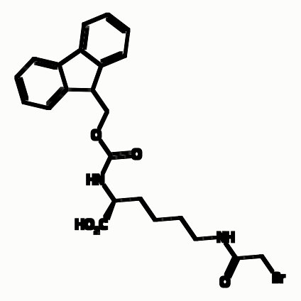 O=C(CBr)NCCCC[C@H](NC(=O)OCC1c2ccccc2-c2ccccc21)C(=O)O